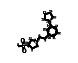 CS(=O)(=O)[C@@H]1CCN(CCc2cccc(N3CCCC3)c2)C1